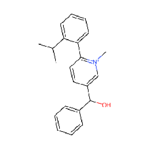 CC(C)c1ccccc1-c1ccc(C(O)c2ccccc2)c[n+]1C